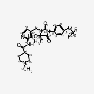 CN1CCC(C(=O)Nc2cc(CN3C(=O)N(c4ccc(OC(F)(F)F)cc4)C(=O)C3(C)C)ccn2)CC1